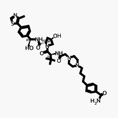 Cc1ncsc1-c1ccc([C@H](CO)NC(=O)[C@@H]2C[C@@H](O)CN2C(=O)[C@@H](NC(=O)CN2CCN(CCCCc3ccc(C(N)=O)cc3)CC2)C(C)(C)C)cc1